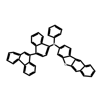 c1ccc(N(c2ccc3c(c2)oc2cc4ccccc4cc23)c2ccc(-c3cc4ccccc4c4ccccc34)c3ccccc23)cc1